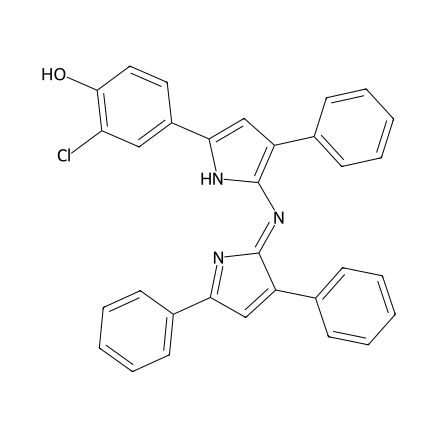 Oc1ccc(-c2cc(-c3ccccc3)c(N=C3N=C(c4ccccc4)C=C3c3ccccc3)[nH]2)cc1Cl